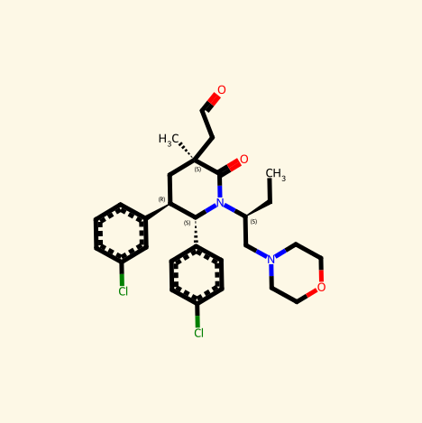 CC[C@@H](CN1CCOCC1)N1C(=O)[C@](C)(CC=O)C[C@H](c2cccc(Cl)c2)[C@H]1c1ccc(Cl)cc1